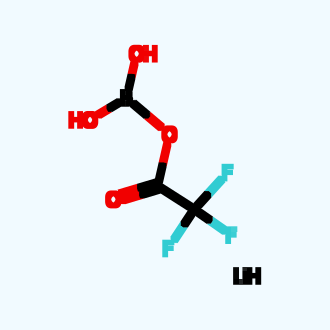 O=C(OB(O)O)C(F)(F)F.[LiH]